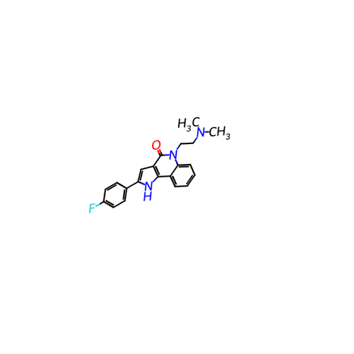 CN(C)CCn1c(=O)c2cc(-c3ccc(F)cc3)[nH]c2c2ccccc21